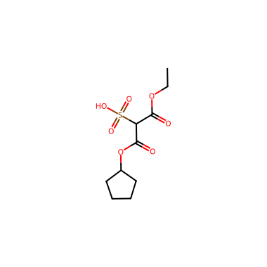 CCOC(=O)C(C(=O)OC1CCCC1)S(=O)(=O)O